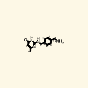 Cc1cc(=O)[nH]c(NCc2ccc(CN)cc2)n1